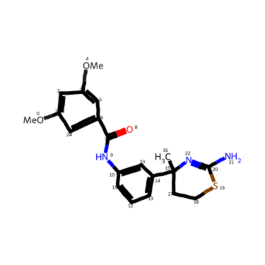 COc1cc(OC)cc(C(=O)Nc2cccc(C3(C)CCSC(N)=N3)c2)c1